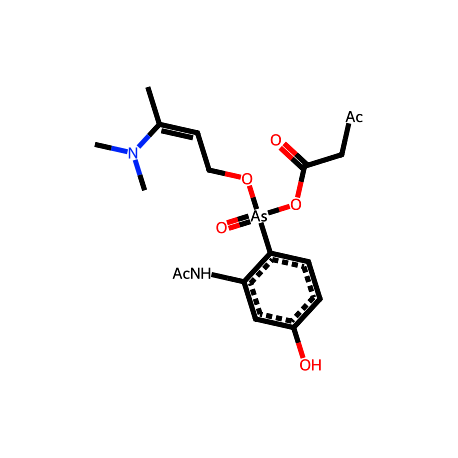 CC(=O)CC(=O)O[As](=O)(OC/C=C(/C)N(C)C)c1ccc(O)cc1NC(C)=O